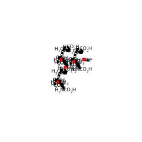 CC(CSSC[C@H](NC(C)(C)C(C)C(=O)CC[C@H](N)C(=O)O)C(=O)NCC(=O)[O-])C(=O)N1CCCC1C(=O)O.CC(CSSC[C@H](NC(C)(C)C(C)C(=O)CC[C@H](N)C(=O)O)C(=O)NCC(=O)[O-])C(=O)N1CCC[C@H]1C(=O)O.CC(CSSC[C@H](NC(C)(C)C(C)C(=O)CC[C@H](N)C(=O)O)C(=O)NCC(=O)[O-])C(=O)N1CCC[C@H]1C(=O)O.[Na+].[Na+].[Na+]